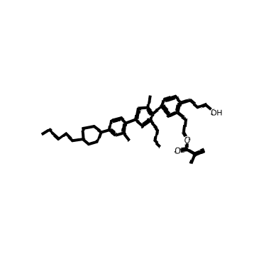 C=C(C)C(=O)OCCc1cc(-c2c(C)cc(-c3ccc(C4CCC(CCCCC)CC4)cc3C)cc2CCC)ccc1CCCO